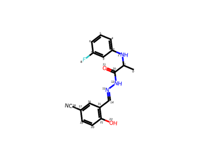 CC(Nc1cccc(F)c1)C(=O)NN=Cc1cc(C#N)ccc1O